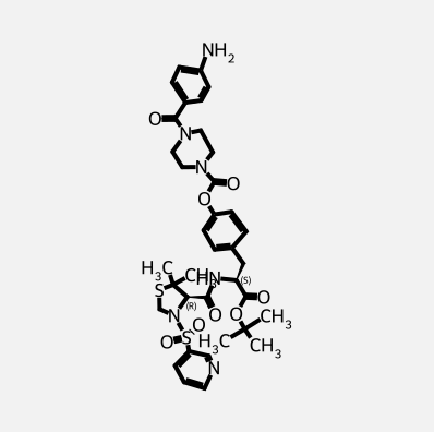 CC(C)(C)OC(=O)[C@H](Cc1ccc(OC(=O)N2CCN(C(=O)c3ccc(N)cc3)CC2)cc1)NC(=O)[C@H]1N(S(=O)(=O)c2cccnc2)CSC1(C)C